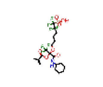 C=C(C)C(=O)OC(OCCCCC(F)(F)C(F)(F)S(=O)(=O)O)(C(=O)NC1CCCCC1)C(F)(F)F